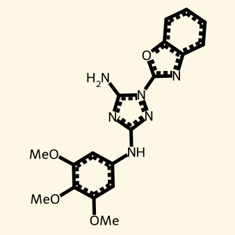 COc1cc(Nc2nc(N)n(-c3nc4ccccc4o3)n2)cc(OC)c1OC